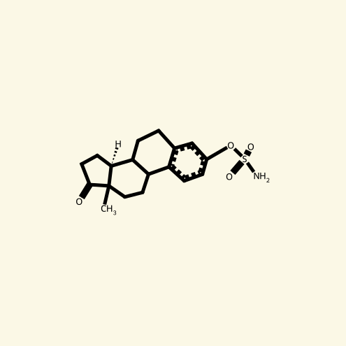 CC12CCC3c4ccc(OS(N)(=O)=O)cc4CCC3[C@@H]1CCC2=O